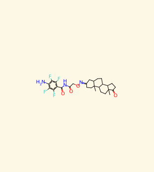 CC12CCC3C(CCC4C/C(=N/OCC(=O)NC(=O)c5c(F)c(F)c(N)c(F)c5F)CCC43C)C1CCC2=O